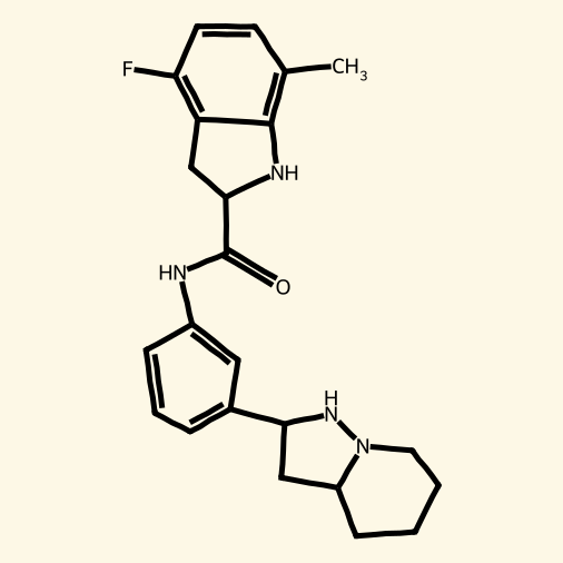 Cc1ccc(F)c2c1NC(C(=O)Nc1cccc(C3CC4CCCCN4N3)c1)C2